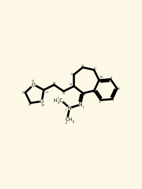 CN(C)N=C1c2ccccc2CCCC1CCC1OCCO1